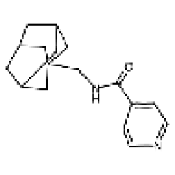 O=C(NCC12CC3CC(CC(C3)C1)C2)c1ccncc1